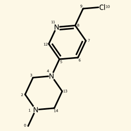 CN1CCN(c2ccc(CCl)nc2)CC1